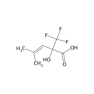 CC(C)=CC(O)(C(=O)O)C(F)(F)F